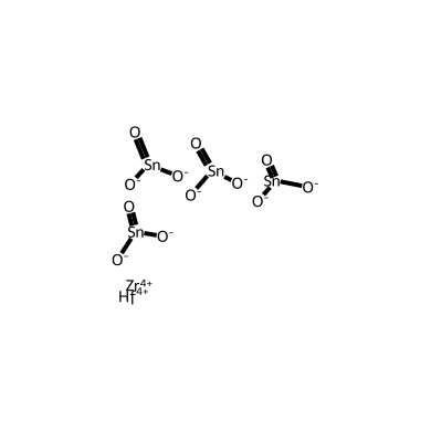 [Hf+4].[O]=[Sn]([O-])[O-].[O]=[Sn]([O-])[O-].[O]=[Sn]([O-])[O-].[O]=[Sn]([O-])[O-].[Zr+4]